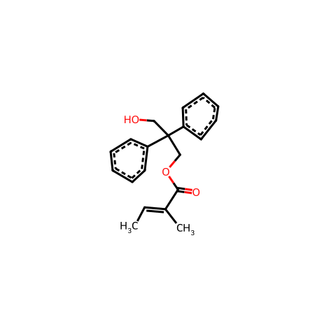 CC=C(C)C(=O)OCC(CO)(c1ccccc1)c1ccccc1